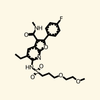 CCc1cc2c(C(=O)NC)c(-c3ccc(F)cc3)oc2nc1NS(=O)(=O)CCCOCCOC